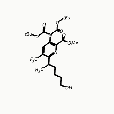 COC(=O)c1nc(C(C)CCCCO)c(C(F)(F)F)cc1N(C(=O)OC(C)(C)C)C(=O)OC(C)(C)C